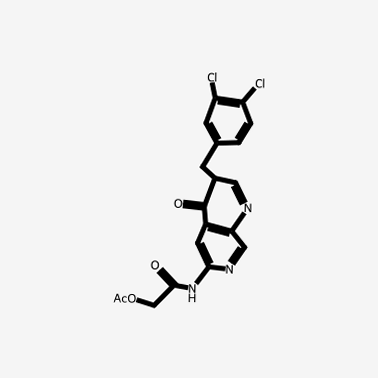 CC(=O)OCC(=O)Nc1cc2c(cn1)N=CC(Cc1ccc(Cl)c(Cl)c1)C2=O